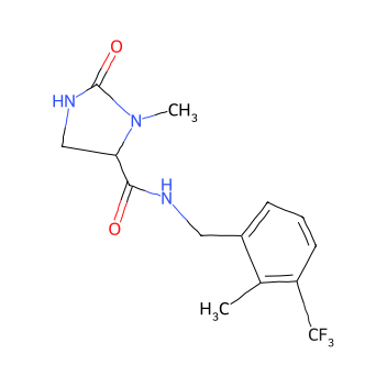 Cc1c(CNC(=O)C2CNC(=O)N2C)cccc1C(F)(F)F